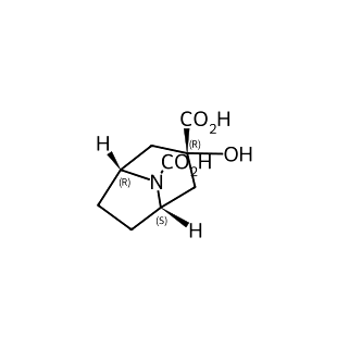 O=C(O)N1[C@@H]2CC[C@H]1C[C@](O)(C(=O)O)C2